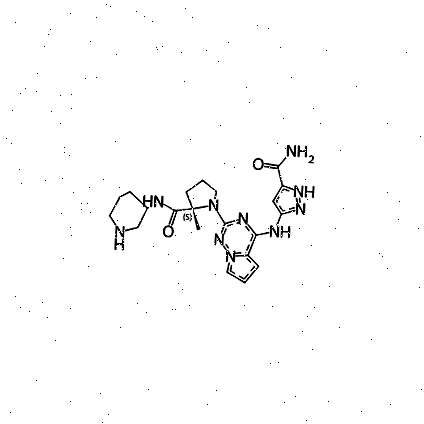 C[C@@]1(C(=O)NC2CCCNC2)CCCN1c1nc(Nc2cc(C(N)=O)[nH]n2)c2cccn2n1